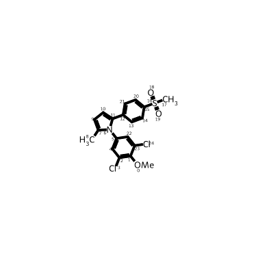 COc1c(Cl)cc(-n2c(C)ccc2-c2ccc(S(C)(=O)=O)cc2)cc1Cl